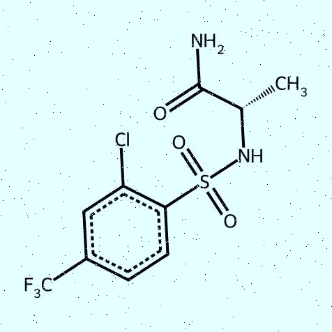 C[C@H](NS(=O)(=O)c1ccc(C(F)(F)F)cc1Cl)C(N)=O